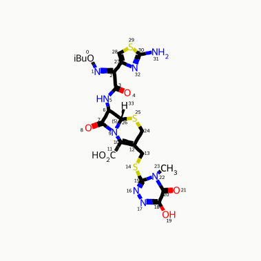 CC(C)CON=C(C(=O)NC1C(=O)N2C(C(=O)O)=C(CSc3nnc(O)c(=O)n3C)CS[C@@H]12)c1csc(N)n1